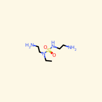 CCN(CCN)S(=O)(=O)NCCN